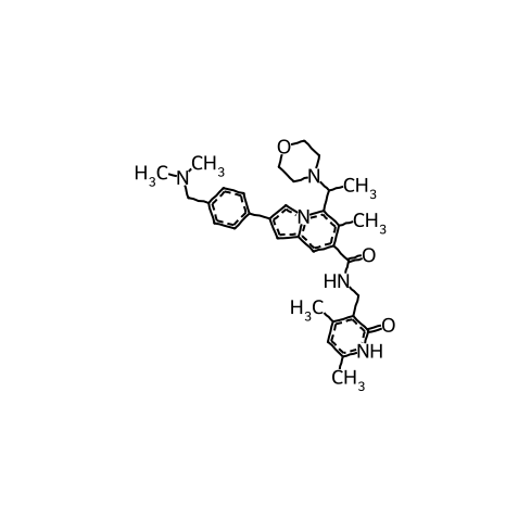 Cc1cc(C)c(CNC(=O)c2cc3cc(-c4ccc(CN(C)C)cc4)cn3c(C(C)N3CCOCC3)c2C)c(=O)[nH]1